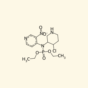 CCOP(=O)(OCC)N(c1ccncc1[N+](=O)[O-])C1CNCCC1Cl